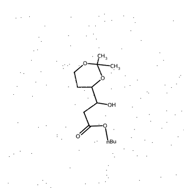 CCCCOC(=O)CC(O)C1CCOC(C)(C)O1